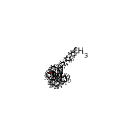 Cc1ccc(-c2ccc(-c3ccc(-c4nc(-n5c6ccccc6c6ccc7ccc8c9ccccc9sc8c7c65)nc5ccccc45)cc3)cc2)cc1